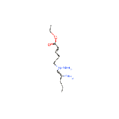 CCC/C(N)=C/N(N)CC/C=C/C(=O)OCC